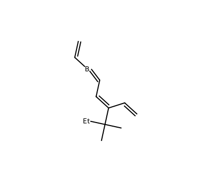 C=C/B=C\C=C(/C=C)C(C)(C)CC